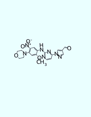 COc1cc(N2CCOCC2)c([N+](=O)[O-])cc1Nc1nccc(-n2cc(C=O)cn2)n1